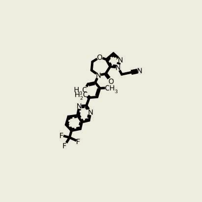 C=C(/C=C(C)\C(=C/C)N1CCOc2cnn(CC#N)c2C1=O)c1ncc2cc(C(F)(F)F)ccc2n1